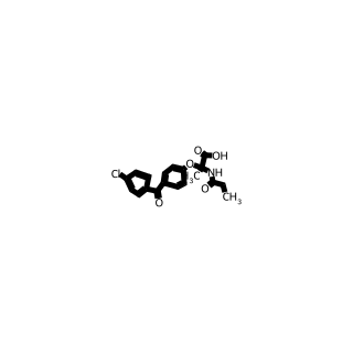 CCC(=O)NC(C)(Oc1ccc(C(=O)c2ccc(Cl)cc2)cc1)C(=O)O